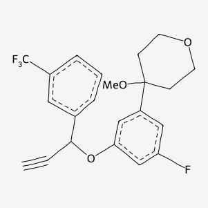 C#CC(Oc1cc(F)cc(C2(OC)CCOCC2)c1)c1cccc(C(F)(F)F)c1